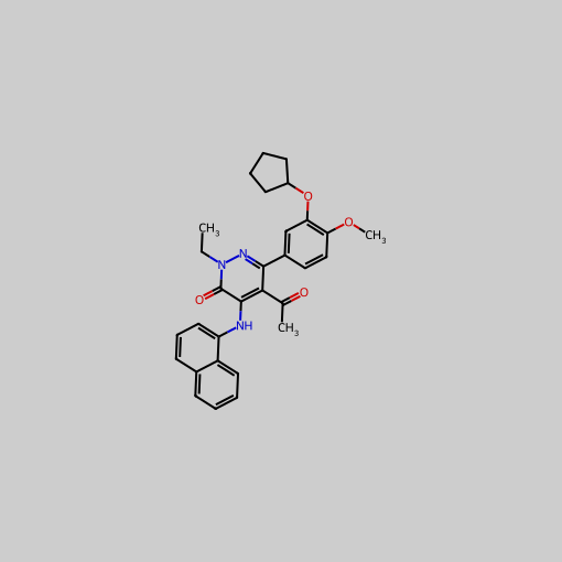 CCn1nc(-c2ccc(OC)c(OC3CCCC3)c2)c(C(C)=O)c(Nc2cccc3ccccc23)c1=O